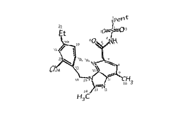 CCCCCS(=O)(=O)NC(=O)c1cc(C)c2nc(C)n(Cc3ccc(CC)cc3Cl)c2n1